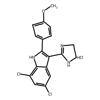 COc1ccc(-c2[nH]c3c(Cl)cc(Cl)cc3c2C2=NCCN2)cc1.Cl